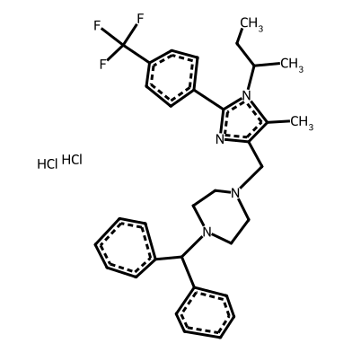 CCC(C)n1c(-c2ccc(C(F)(F)F)cc2)nc(CN2CCN(C(c3ccccc3)c3ccccc3)CC2)c1C.Cl.Cl